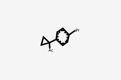 CC(=O)C1(c2ccc(C(C)C)cc2)CC1